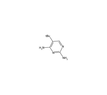 CC(C)(C)c1cnc(N)nc1N